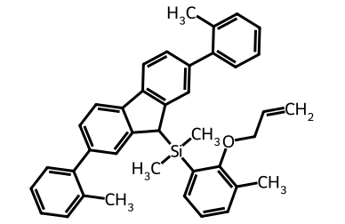 C=CCOc1c(C)cccc1[Si](C)(C)C1c2cc(-c3ccccc3C)ccc2-c2ccc(-c3ccccc3C)cc21